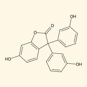 O=C1Oc2cc(O)ccc2C1(c1cccc(O)c1)c1cccc(O)c1